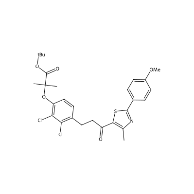 COc1ccc(-c2nc(C)c(C(=O)CCc3ccc(OC(C)(C)C(=O)OC(C)(C)C)c(Cl)c3Cl)s2)cc1